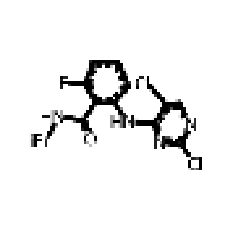 CC(C)NC(=O)c1c(F)cccc1Nc1nc(Cl)ncc1Cl